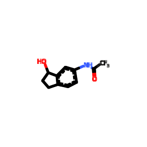 O=C(Nc1ccc2c(c1)C(O)CC2)C(F)(F)F